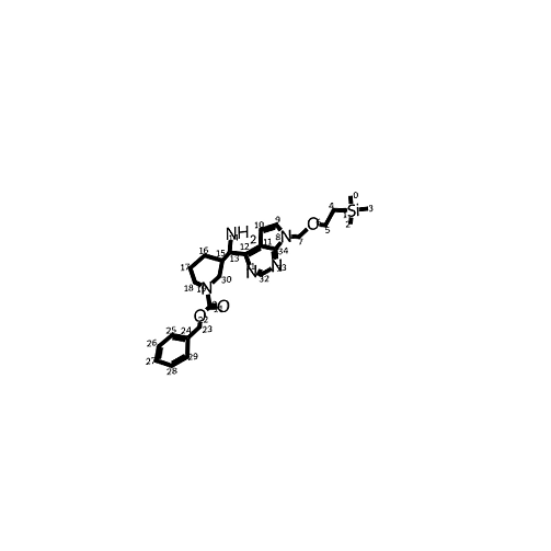 C[Si](C)(C)CCOCn1ccc2c(C(N)C3CCCN(C(=O)OCc4ccccc4)C3)ncnc21